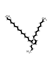 CCCCCCCCCCCCCCC1N(CCC)C=CN1CCCCCCCCC